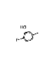 Cc1ccc(F)cc1.Cl